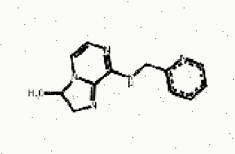 CC1CN=C2C(NCc3ccccn3)=NC=CN21